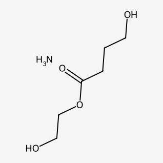 N.O=C(CCCO)OCCO